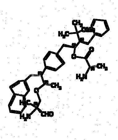 COC(C)(C)[C@@H](Cc1ccccc1)[C@H](Cc1ccc([C@@H](Cc2ccc3ccccc3c2)[C@H](C)OC[C@@](C)(N)C=O)cc1)OC(=O)[C@H](C)N